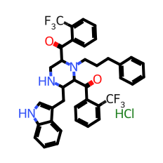 Cl.O=C(c1ccccc1C(F)(F)F)C1CNC(Cc2c[nH]c3ccccc23)C(C(=O)c2ccccc2C(F)(F)F)N1CCCc1ccccc1